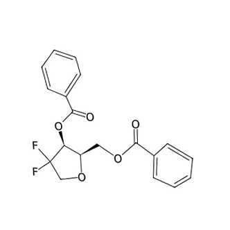 O=C(OC[C@H]1OCC(F)(F)[C@H]1OC(=O)c1ccccc1)c1ccccc1